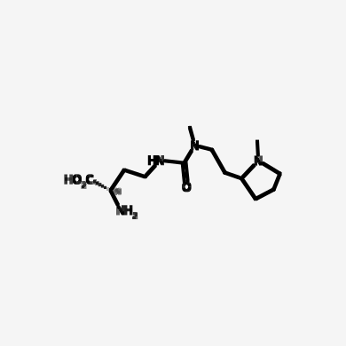 CN(CCC1CCCN1C)C(=O)NCC[C@H](N)C(=O)O